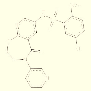 COc1ccc(Cl)cc1S(=O)(=O)Nc1cnc2c(c1)C(=O)N(c1cccnc1)CCO2